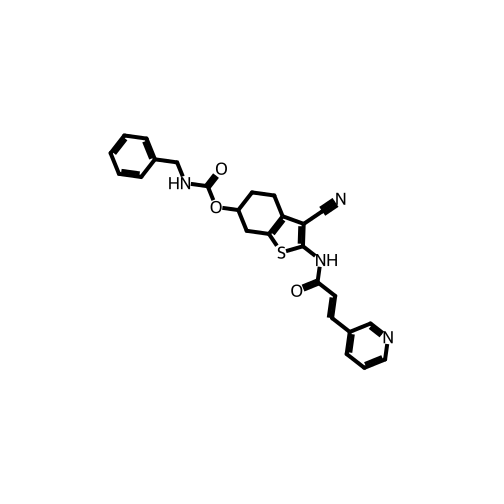 N#Cc1c(NC(=O)C=Cc2cccnc2)sc2c1CCC(OC(=O)NCc1ccccc1)C2